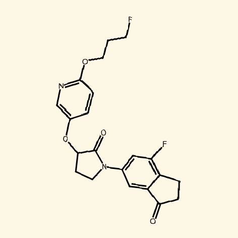 O=C1CCc2c(F)cc(N3CCC(Oc4ccc(OCCCF)nc4)C3=O)cc21